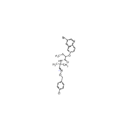 CSC(Oc1ccc2ncc(Br)cc2c1)C(=O)NC(C)(C)/C=N/OCc1ccc(Cl)cc1